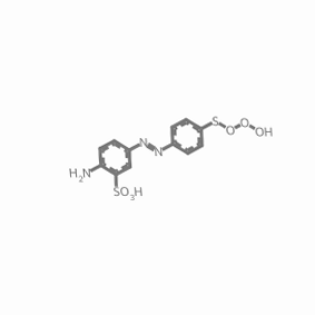 Nc1ccc(N=Nc2ccc(SOOO)cc2)cc1S(=O)(=O)O